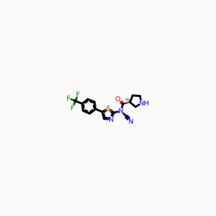 N#CN(C(=O)[C@H]1CCNC1)c1ncc(-c2ccc(C(F)(F)F)cc2)s1